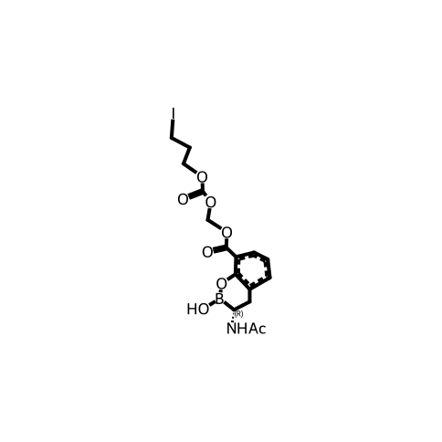 CC(=O)N[C@H]1Cc2cccc(C(=O)OCOC(=O)OCCCI)c2OB1O